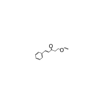 C=COCCC(=O)/C=C/c1ccccc1